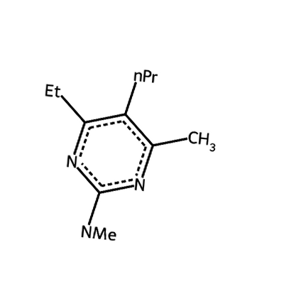 CCCc1c(C)nc(NC)nc1CC